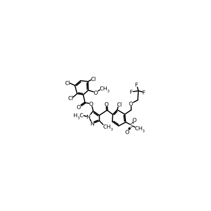 COc1c(Cl)cc(Cl)c(Cl)c1C(=O)Oc1c(C(=O)c2ccc(S(C)(=O)=O)c(COCC(F)(F)F)c2Cl)c(C)nn1C